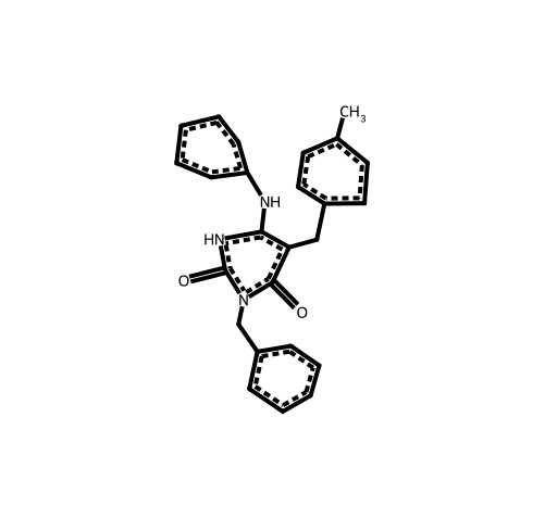 Cc1ccc(Cc2c(Nc3ccccc3)[nH]c(=O)n(Cc3ccccc3)c2=O)cc1